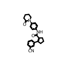 N#Cc1cccc(C2=C(C(=O)Nc3ccc(N4CCCCC4=O)cc3)CCC2)c1